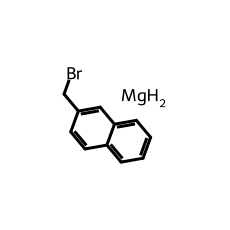 BrCc1ccc2ccccc2c1.[MgH2]